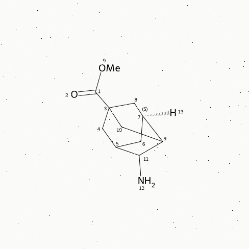 COC(=O)C12CC3C[C@@H](C1)C(C2)C3N